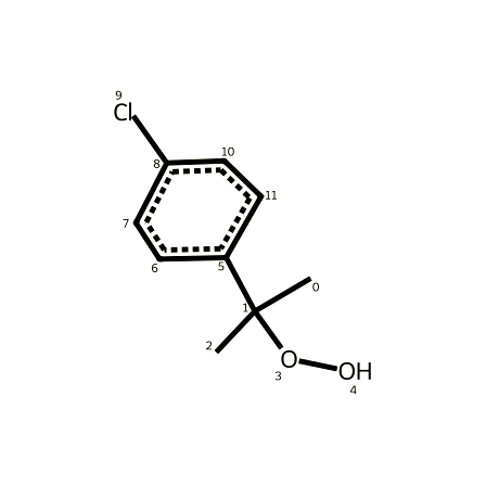 CC(C)(OO)c1ccc(Cl)cc1